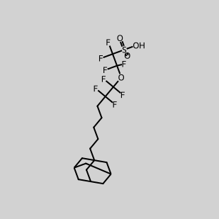 O=S(=O)(O)C(F)(F)C(F)(F)OC(F)(F)C(F)(F)CCCCCC12CC3CC(CC(C3)C1)C2